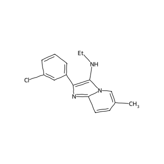 CCNc1c(-c2cccc(Cl)c2)nc2ccc(C)cn12